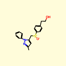 Cc1cc(C[S+]([O-])c2ccc(CCO)cc2)n(-c2ccccc2)n1